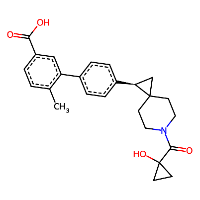 Cc1ccc(C(=O)O)cc1-c1ccc([C@H]2CC23CCN(C(=O)C2(O)CC2)CC3)cc1